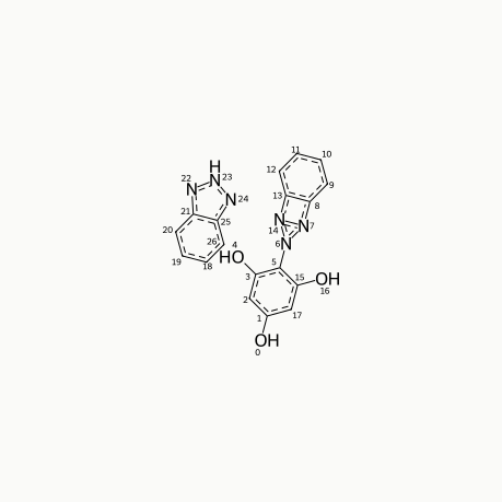 Oc1cc(O)c(-n2n3c4ccccc4n23)c(O)c1.c1ccc2n[nH]nc2c1